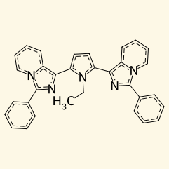 CCn1c(-c2nc(-c3ccccc3)n3ccccc23)ccc1-c1nc(-c2ccccc2)n2ccccc12